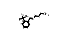 CCCC/N=C/c1ccccc1C(F)(F)F